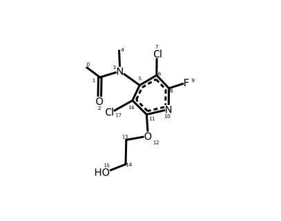 CC(=O)N(C)c1c(Cl)c(F)nc(OCCO)c1Cl